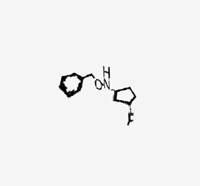 F[C@H]1CC[C@@H](NOCc2ccccc2)C1